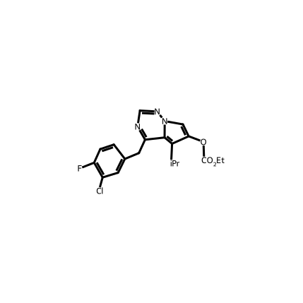 CCOC(=O)Oc1cn2ncnc(Cc3ccc(F)c(Cl)c3)c2c1C(C)C